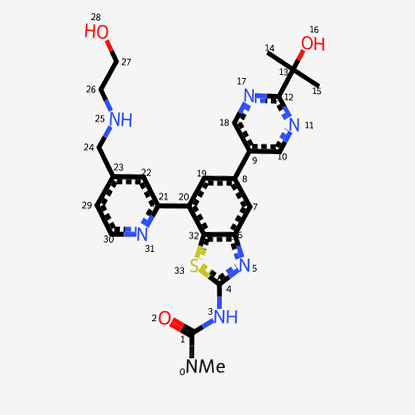 CNC(=O)Nc1nc2cc(-c3cnc(C(C)(C)O)nc3)cc(-c3cc(CNCCO)ccn3)c2s1